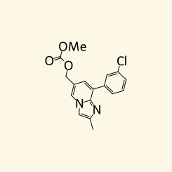 COC(=O)OCc1cc(-c2cccc(Cl)c2)c2nc(C)cn2c1